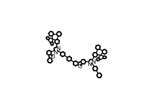 c1ccc(-c2ccc(-c3nc(-c4ccc5c(c4)C4(c6ccccc6-c6ccccc6-5)c5ccccc5-c5ccccc54)cc(-c4ccc5c(c4)oc4ccc(-c6ccc(-c7ccc(-c8nc(-c9ccc%10c(c9)C9(c%11ccccc%11-c%11ccccc%11-%10)c%10ccccc%10-c%10ccccc%109)cc(-c9cccc%10c9oc9ccccc9%10)n8)cc7)cc6)cc45)n3)cc2)cc1